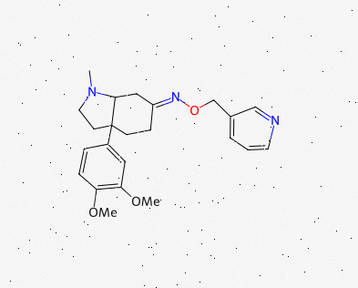 COc1ccc(C23CCC(=NOCc4cccnc4)CC2N(C)CC3)cc1OC